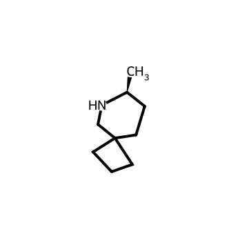 C[C@H]1CCC2(CCC2)CN1